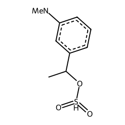 CNc1cccc(C(C)O[SH](=O)=O)c1